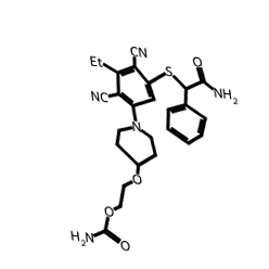 CCc1c(C#N)c(SC(C(N)=O)c2ccccc2)cc(N2CCC(OCCOC(N)=O)CC2)c1C#N